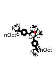 CCCCCCCCSC1(c2ccc([C@H](O[C@@H](c3ccc(C4(SCCCCCCCC)C=NC=NC4)cc3)C3COC(C)(C)O3)C3COC(C)(C)O3)cc2)C=NC=NC1